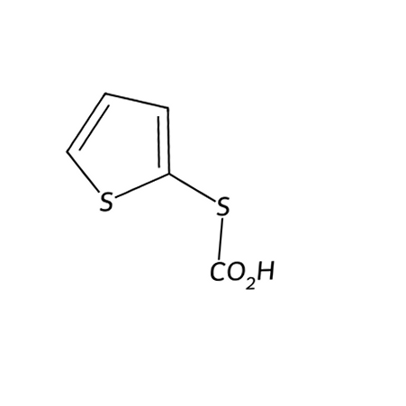 O=C(O)Sc1cccs1